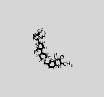 Cc1nc2ccc(CN3CC=C(c4ccc(-c5nnc(C(F)(F)F)[nH]5)nc4F)CC3)c(F)c2[nH]c1=O